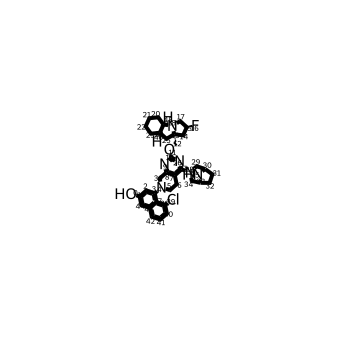 Oc1cc(N2CCc3c(nc(OC[C@@]45C[C@H](F)CN4[C@@H]4CCCC[C@@H]4C5)nc3N3CC4CCC(C3)N4)C2)c2c(Cl)cccc2c1